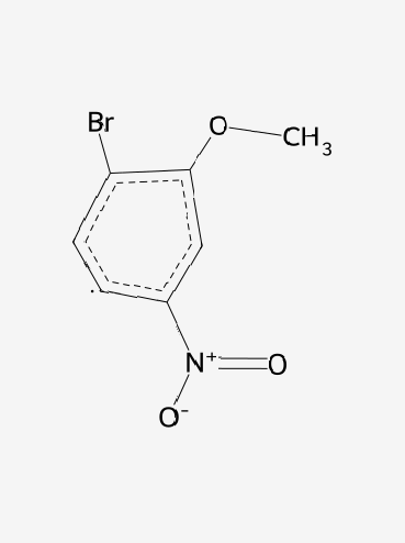 COc1cc([N+](=O)[O-])[c]cc1Br